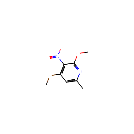 COc1nc(C)cc(SC)c1[N+](=O)[O-]